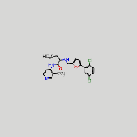 O=C(O)CC(NCc1ccc(-c2cc(Cl)ccc2Cl)o1)C(=O)Nc1ccncc1C(=O)O